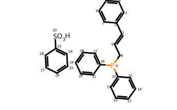 C(=Cc1ccccc1)CP(c1ccccc1)c1ccccc1.O=S(=O)(O)c1ccccc1